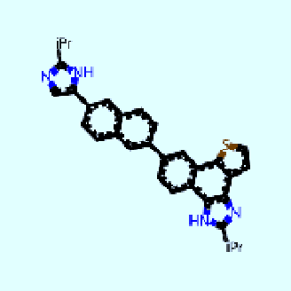 CC(C)c1ncc(-c2ccc3cc(-c4ccc5c(c4)c4sccc4c4nc(C(C)C)[nH]c54)ccc3c2)[nH]1